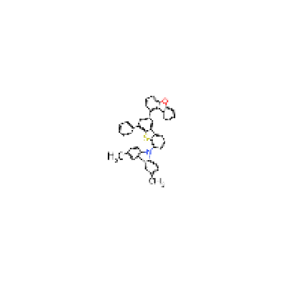 Cc1ccc2c(c1)c1cc(C)ccc1n2-c1cccc2c1sc1c(-c3ccccc3)cc(-c3cccc4oc5ccccc5c34)cc12